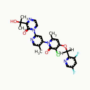 [2H]C([2H])(Oc1cc(C)n(-c2cc(-n3ccnc(C(C)(C)O)c3=O)ncc2C)c(=O)c1Cl)c1ncc(F)cc1F